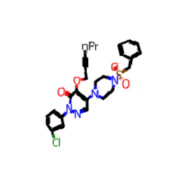 CCCC#CCOc1c(N2CCN(S(=O)(=O)Cc3ccccc3)CC2)cnn(-c2cccc(Cl)c2)c1=O